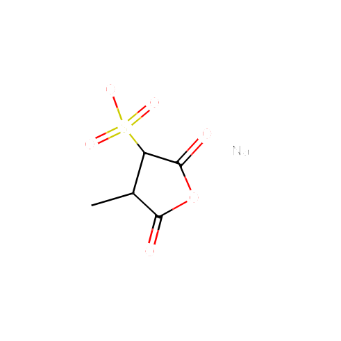 CC1C(=O)OC(=O)C1S(=O)(=O)[O-].[Na+]